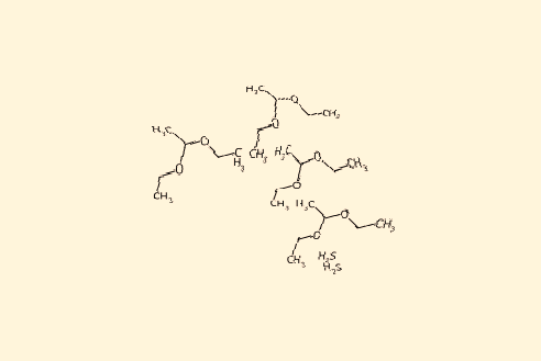 CCOC(C)OCC.CCOC(C)OCC.CCOC(C)OCC.CCOC(C)OCC.S.S